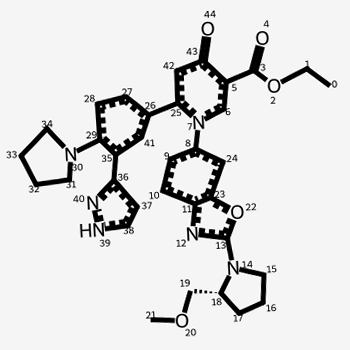 CCOC(=O)c1cn(-c2ccc3nc(N4CCC[C@@H]4COC)oc3c2)c(-c2ccc(N3CCCC3)c(-c3cc[nH]n3)c2)cc1=O